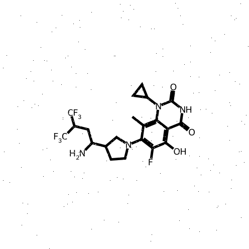 Cc1c(N2CCC(C(N)CC(C(F)(F)F)C(F)(F)F)C2)c(F)c(O)c2c(=O)[nH]c(=O)n(C3CC3)c12